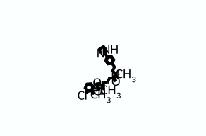 Cc1c(Cl)cccc1S(=O)(=O)N(C)CCCC(=O)N(C)CCc1ccc(C2=NCCN2)cc1